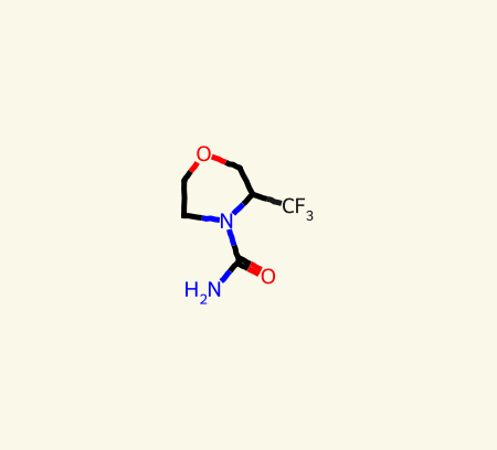 NC(=O)N1CCOCC1C(F)(F)F